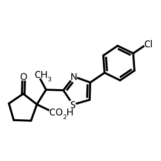 CC(c1nc(-c2ccc(Cl)cc2)cs1)C1(C(=O)O)CCCC1=O